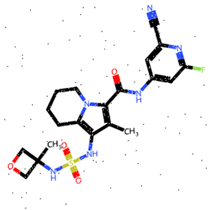 Cc1c(NS(=O)(=O)NC2(C)COC2)c2n(c1C(=O)Nc1cc(F)nc(C#N)c1)CCCC2